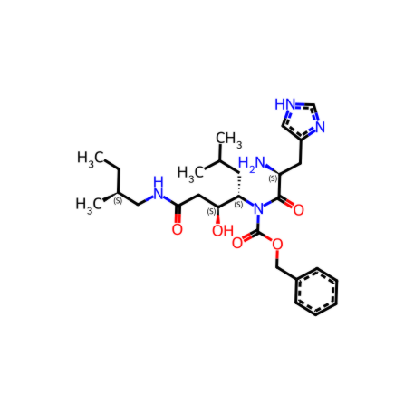 CC[C@H](C)CNC(=O)C[C@H](O)[C@H](CC(C)C)N(C(=O)OCc1ccccc1)C(=O)[C@@H](N)Cc1c[nH]cn1